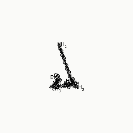 CC[C@H]1C(=O)OCc2c1cc1n(c2=O)Cc2c-1nc1cc(F)c(C)c3c1c2[C@@H](NC(=O)OCc1ccc(NC(=O)[C@H](CCCCN)NC(=O)[C@H](Cc2ccccc2)NC(=O)CCOCCOCCOCCOCCOCCOCCOCCOCCOCCN)c(OC)c1)CC3